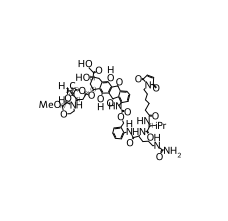 CO[C@H]1OCCN2[C@@H]1O[C@@H]1[C@H](C)O[C@@H](O[C@H]3C[C@](O)(C(=O)CO)Cc4c(O)c5c(c(O)c43)C(=O)c3c(NC(=O)OCc4ccccc4NC(=O)C(CCCNC(N)=O)NC(=O)[C@@H](NC(=O)CCCCCN4C(=O)C=CC4=O)C(C)C)cccc3C5=O)C[C@@H]12